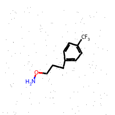 NOCCCc1ccc(C(F)(F)F)cc1